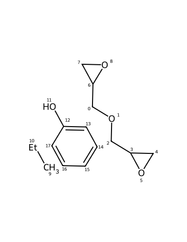 C(OCC1CO1)C1CO1.CCC.Oc1ccccc1